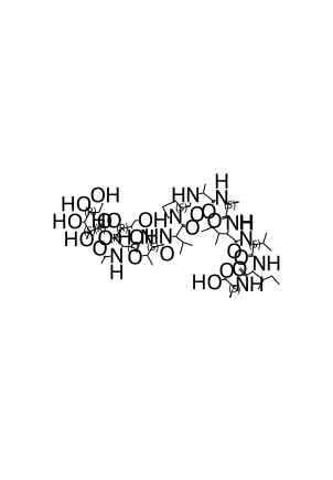 CCC(C)C(NC(=O)[C@H](C)NC(=O)C(C)NC(=O)[C@@H]1CCCN1C(=O)C(NC(=O)[C@@H](N)C(C)O[C@H]1OC(CO)[C@H](O)[C@H](O[C@@H]2OC(CO)[C@H](O)C(O)[C@@H]2O)C1NC(C)=O)C(C)C)C(=O)N[C@H](C(=O)NC(C(=O)N[C@@H](C)C(=O)O)C(C)CC)C(C)C